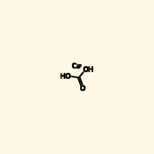 O=C(O)O.[Ca]